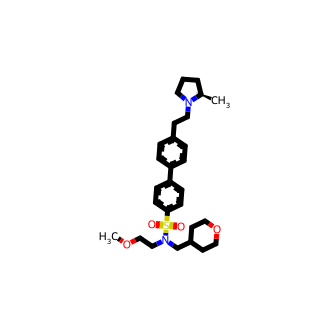 COCCN(CC1CCOCC1)S(=O)(=O)c1ccc(-c2ccc(CCN3CCC[C@H]3C)cc2)cc1